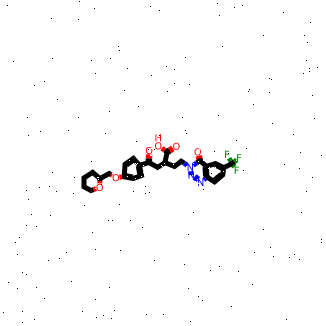 O=C(CC(CCn1nnc2ccc(C(F)(F)F)cc2c1=O)C(=O)O)c1ccc(OCC2CCCCO2)cc1